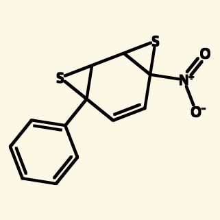 O=[N+]([O-])C12C=CC3(c4ccccc4)SC3C1S2